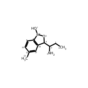 CCC(N)C1OB(O)c2ccc(C)cc21